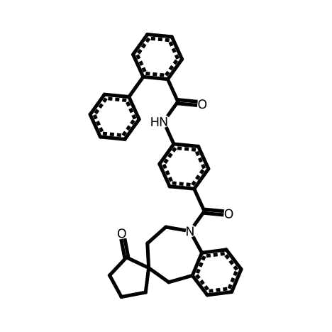 O=C(Nc1ccc(C(=O)N2CCC3(CCCC3=O)Cc3ccccc32)cc1)c1ccccc1-c1ccccc1